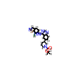 CC(C)(C)OC(=O)N1CCCC(c2ccc3ncnc(Nc4ccc5cnsc5c4F)c3c2)C1